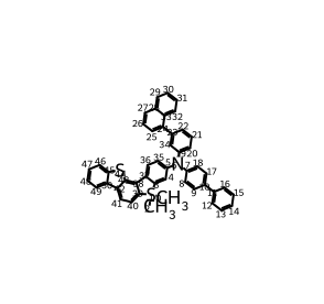 CS1(C)c2cc(N(c3ccc(-c4ccccc4)cc3)c3cccc(-c4cccc5ccccc45)c3)ccc2-c2c1ccc1c2sc2ccccc21